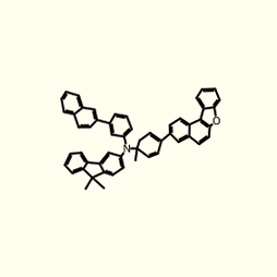 CC1(C)c2ccccc2-c2cc(N(c3cccc(-c4ccc5ccccc5c4)c3)C3(C)C=CC(c4ccc5c(ccc6oc7ccccc7c65)c4)=CC3)ccc21